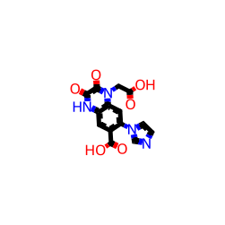 O=C(O)Cn1c(=O)c(=O)[nH]c2cc(C(=O)O)c(-n3ccnc3)cc21